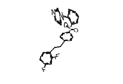 O=S(=O)(c1ccc(CCc2ccc(F)cc2F)cc1)c1ccccc1-n1ccnc1